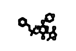 C[C@@H]1OCC(=O)[C@H]1NC(=O)[C@H](CC(C)(C)CCc1ccccc1)NC(=O)ON1CCOCC1